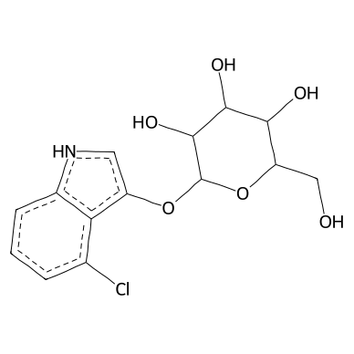 OCC1OC(Oc2c[nH]c3cccc(Cl)c23)C(O)C(O)C1O